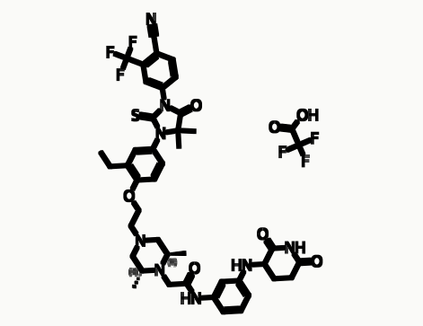 CCc1cc(N2C(=S)N(c3ccc(C#N)c(C(F)(F)F)c3)C(=O)C2(C)C)ccc1OCCN1C[C@@H](C)N(CC(=O)Nc2cccc(NC3CCC(=O)NC3=O)c2)[C@H](C)C1.O=C(O)C(F)(F)F